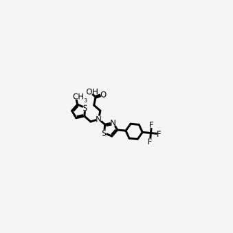 Cc1ccc(CN(CCC(=O)O)c2nc(C3CCC(C(F)(F)F)CC3)cs2)s1